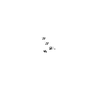 [SiH4].[W].[W].[W]